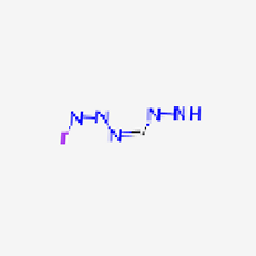 N=N/C=N\N=N/I